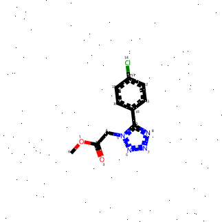 COC(=O)Cn1nnnc1-c1ccc(Cl)cc1